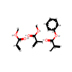 C=C(C)C(=O)OC.C=C(C)C(=O)Oc1ccccc1.C=CC(=O)OC